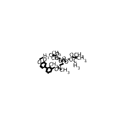 Cc1c(CON(C)CCP(=O)(OCOC(=O)C(C)(C)C)OCOC(=O)C(C)(C)C)cccc1-c1ccc2c(c1)OCCO2